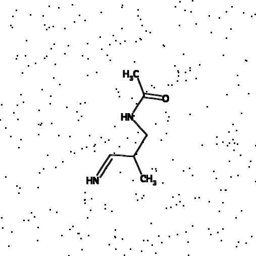 CC(=O)NCC(C)C=N